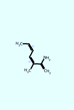 C=C(N)/C(C)=C\C=C/C